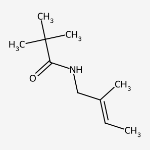 C/C=C(\C)CNC(=O)C(C)(C)C